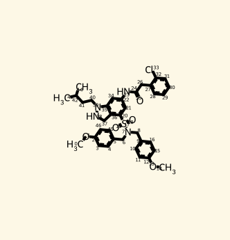 COc1ccc(CN(Cc2ccc(OC)cc2)S(=O)(=O)c2cc(NC(=O)Cc3ccccc3Cl)cc3c2CNN3CCC(C)C)cc1